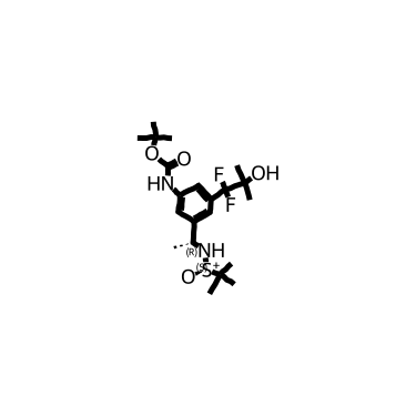 C[C@@H](N[S@+]([O-])C(C)(C)C)c1cc(NC(=O)OC(C)(C)C)cc(C(F)(F)C(C)(C)O)c1